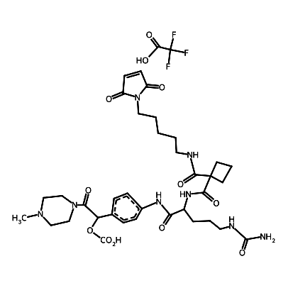 CN1CCN(C(=O)C(OC(=O)O)c2ccc(NC(=O)C(CCCNC(N)=O)NC(=O)C3(C(=O)NCCCCCN4C(=O)C=CC4=O)CCC3)cc2)CC1.O=C(O)C(F)(F)F